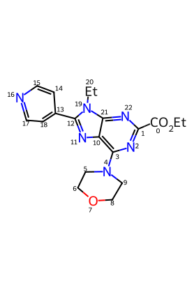 CCOC(=O)c1nc(N2CCOCC2)c2nc(-c3ccncc3)n(CC)c2n1